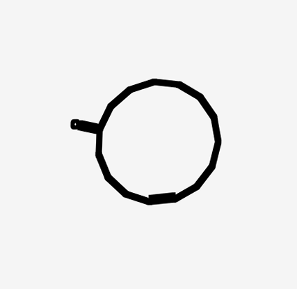 O=C1CCC/C=C\CCCCCCCCC1